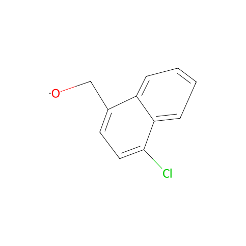 [O]Cc1ccc(Cl)c2ccccc12